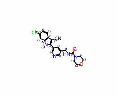 Cn1c(-c2cncc(CNC(=O)N3CCOCC3)c2)c(C#N)c2ccc(Cl)cc21